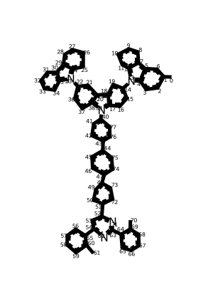 Cc1ccc2c(c1)c1ccccc1n2-c1ccc2c(c1)c1cc(-n3c4ccccc4c4ccccc43)ccc1n2-c1ccc(-c2ccc(-c3ccc(-c4cc(-c5ccccc5C)nc(-c5ccccc5C)n4)cc3)cc2)cc1